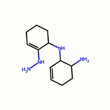 NNC1=CCCCC1NC1C=CCCC1N